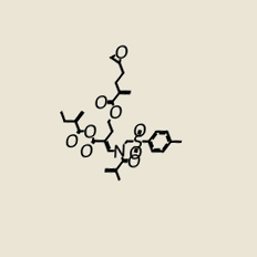 C=C(C)C(=O)N(C=C(CCOC(=O)C(=C)CCC1CO1)C(=O)OC(=O)C(=C)CC)CS(=O)(=O)c1ccc(C)cc1